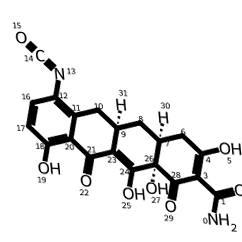 NC(=O)C1=C(O)C[C@@H]2C[C@@H]3Cc4c(N=C=O)ccc(O)c4C(=O)C3=C(O)[C@]2(O)C1=O